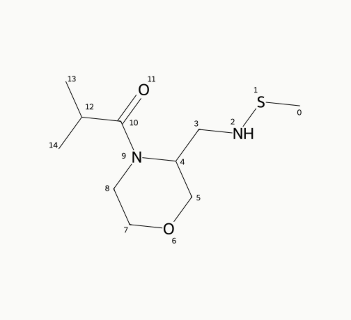 CSNCC1COCCN1C(=O)C(C)C